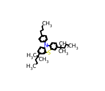 CCCCc1ccc(N2c3ccc(C(C)(C)CCC)cc3Sc3cc(C(C)(C)CCC)ccc32)cc1